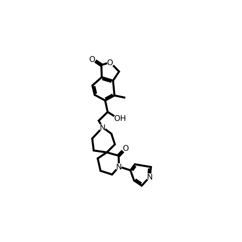 Cc1c(C(O)CN2CCC3(CCCN(c4ccncc4)C3=O)CC2)ccc2c1COC2=O